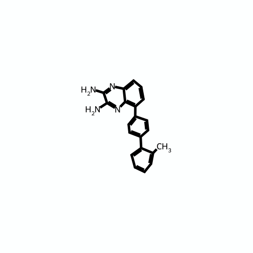 Cc1ccccc1-c1ccc(-c2cccc3nc(N)c(N)nc23)cc1